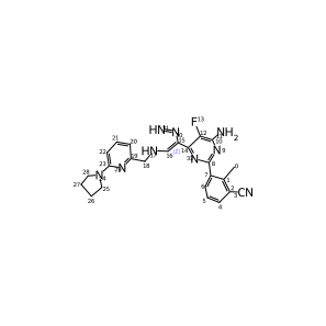 Cc1c(C#N)cccc1-c1nc(N)c(F)c(/C(=C/NCc2cccc(N3CCCC3)n2)N=N)n1